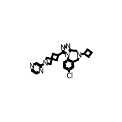 Clc1ccc2c(c1)CN(C1CCC1)Cc1nnc(C3CC4(C3)CN(c3cnccn3)C4)n1-2